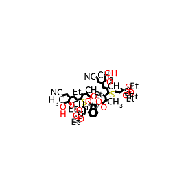 CCO[Si](CCCSC(C(C)CC(CC(C)C#N)C(=O)CO)C(CC)C(C)C(=O)O[C@@H]1c2ccccc2[C@@H]1OC(=O)C(C)C(CC)C(SCCC[Si](OCC)(OCC)OCC)C(C)CC(CC(C)C#N)C(=O)CO)(OCC)OCC